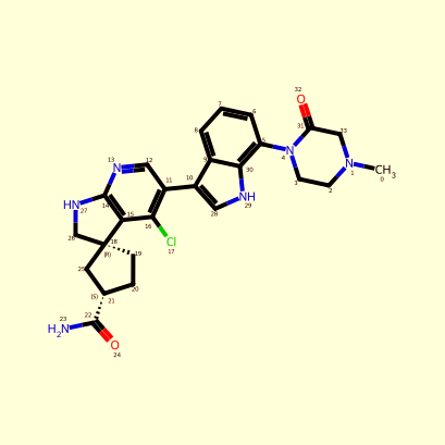 CN1CCN(c2cccc3c(-c4cnc5c(c4Cl)[C@]4(CC[C@H](C(N)=O)C4)CN5)c[nH]c23)C(=O)C1